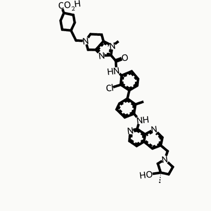 Cc1c(Nc2nccc3cc(CN4CC[C@@](C)(O)C4)cnc23)cccc1-c1cccc(NC(=O)c2nc3c(n2C)CCN(CC2CCC(C(=O)O)CC2)C3)c1Cl